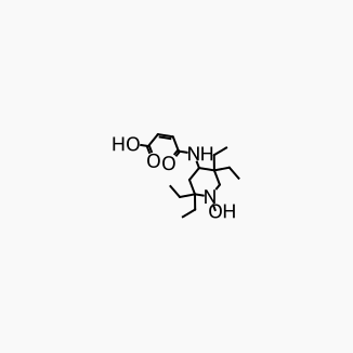 CCC1(CC)CN(O)C(CC)(CC)CC1NC(=O)/C=C\C(=O)O